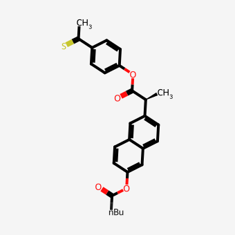 CCCCC(=O)Oc1ccc2cc([C@H](C)C(=O)Oc3ccc(C(C)=S)cc3)ccc2c1